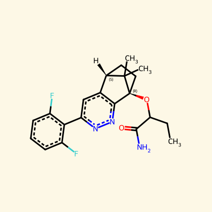 CCC(O[C@@]12CC[C@@H](c3cc(-c4c(F)cccc4F)nnc31)C2(C)C)C(N)=O